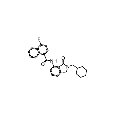 O=C(Nc1cccc2c1C(=O)N(CC1CCCCC1)C2)c1ccc(F)c2ccccc12